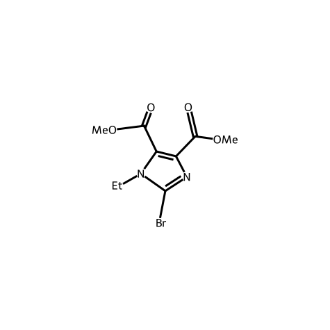 CCn1c(Br)nc(C(=O)OC)c1C(=O)OC